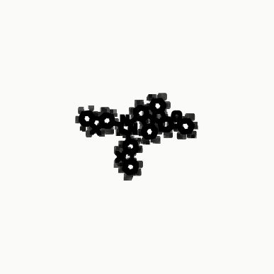 CC1(C)c2ccccc2-c2ccc(-c3cc(-c4ccc5c(c4)C(C)(C)c4ccccc4-5)nc(-c4cccc5c4-c4ccccc4C54c5ccccc5-c5c4ccc4c5oc5ccccc54)n3)cc21